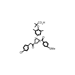 CSc1ccc(C(=O)[C@H]2CN(C(=O)Cc3ccc(Cl)cc3)C[C@@H]2c2cc(C)c(OC(C)(C)C(=O)O)c(C)c2)cc1